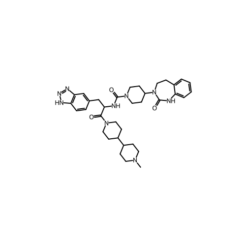 CN1CCC(C2CCN(C(=O)C(Cc3ccc4[nH]nnc4c3)NC(=O)N3CCC(N4CCc5ccccc5NC4=O)CC3)CC2)CC1